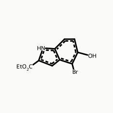 CCOC(=O)c1cc2c(Br)c(O)ccc2[nH]1